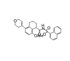 COc1ccc(C2=CCOCC2)c2c1C(C(=O)NS(=O)(=O)c1cccc3ccccc13)CCC2